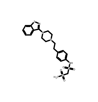 CS(=O)(=O)CS(=O)(=O)Nc1ccc(CCN2CCN(c3nsc4ccccc34)CC2)cc1